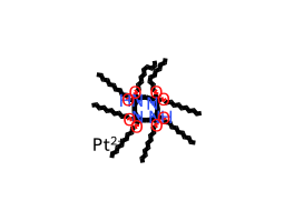 CCCCCCCCCCOC1=C(OCCCCCCCCCC)c2cc3[nH]c(cc4nc(cc5[nH]c(cc1n2)c(OCCCCCCCCCC)c5OCCCCCCCCCC)C(OCCCCCCCCCC)=C4OCCCCCCCCCC)c(OCCCCCCCCCC)c3OCCCCCCCCCC.[Pt+2]